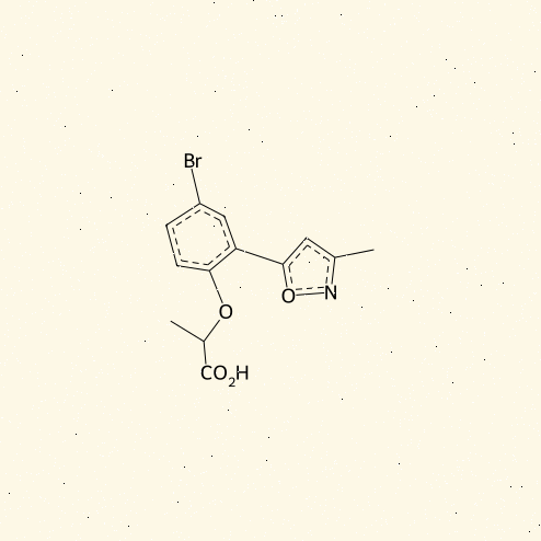 Cc1cc(-c2cc(Br)ccc2OC(C)C(=O)O)on1